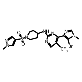 Cn1cc(S(=O)(=O)N2CCC(Nc3ncc(C(F)(F)F)c(-c4ncn(C)c4Br)n3)CC2)cn1